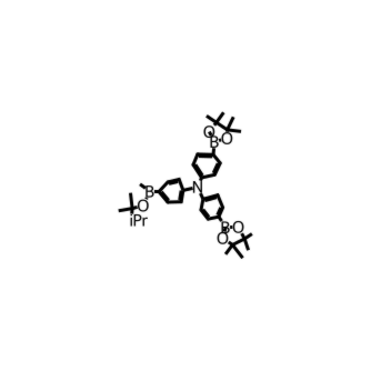 CB(OC(C)(C)C(C)C)c1ccc(N(c2ccc(B3OC(C)(C)C(C)(C)O3)cc2)c2ccc(B3OC(C)(C)C(C)(C)O3)cc2)cc1